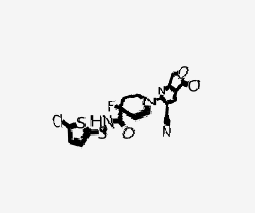 N#Cc1cc2c(nc1N1CCC(F)(C(=O)NSc3ccc(Cl)s3)CC1)COC2=O